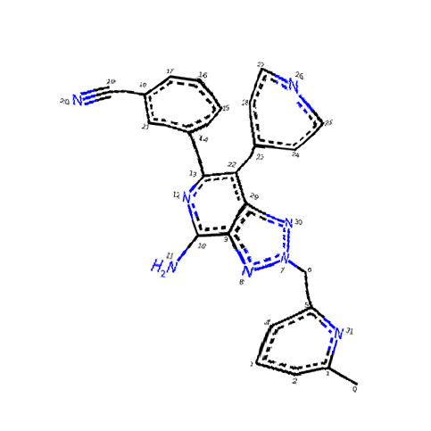 Cc1cccc(Cn2nc3c(N)nc(-c4cccc(C#N)c4)c(-c4ccncc4)c3n2)n1